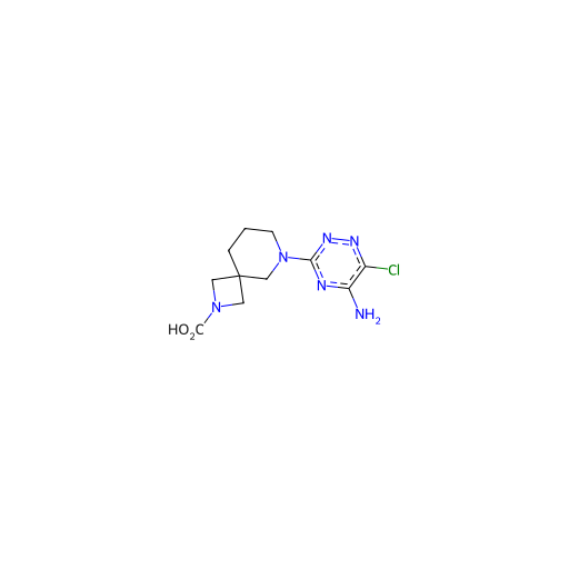 Nc1nc(N2CCCC3(CN(C(=O)O)C3)C2)nnc1Cl